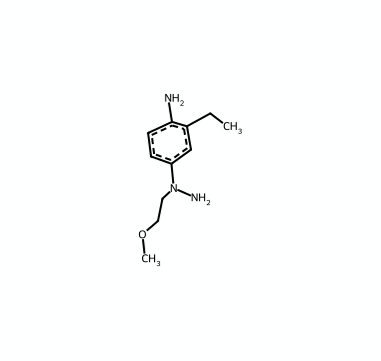 CCc1cc(N(N)CCOC)ccc1N